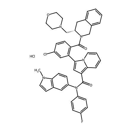 Cl.Cn1ccc2cc(N(C(=O)c3cc(-c4cc(Cl)ccc4C(=O)N4Cc5ccccc5C[C@H]4CN4CCOCC4)n4ccccc34)c3ccc(F)cc3)ccc21